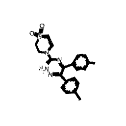 C=C(/N=C(\C(=N/N)c1ccc(C)cc1)c1ccc(C)cc1)N1CCS(=O)(=O)CC1